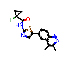 Cc1nnc2ccc(-c3cnc(NC(=O)C4(F)CC4)s3)cc2c1C